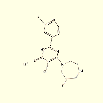 Cl.O=c1[nH]c(-c2ccnc(F)c2)nc(N2CCNCC(F)C2)c1Cl